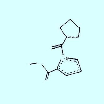 COC(=O)c1cccn1C(=O)C1CCCC1